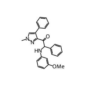 COc1cccc(NC(C(=O)c2nn(C)cc2-c2ccccc2)c2ccccc2)c1